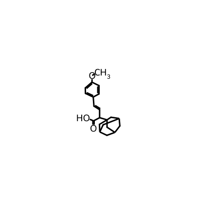 COc1ccc(C=CC(C(=O)O)C23CC4CC(CC(C4)C2)C3)cc1